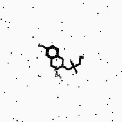 CC(=O)c1ccc2c(c1)C[C@@H](C)N(CC(F)(F)CO)C2